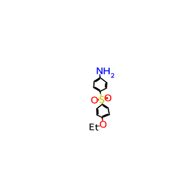 CCOc1ccc(S(=O)(=O)c2ccc(N)cc2)cc1